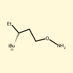 CCC(CCON)[C@@H](C)CC